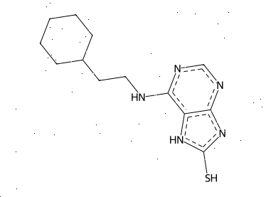 Sc1nc2ncnc(NCCC3CCCCC3)c2[nH]1